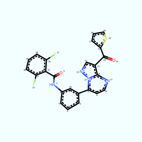 O=C(Nc1cccc(-c2ccnc3c(C(=O)c4cccs4)cnn23)c1)c1c(F)cccc1F